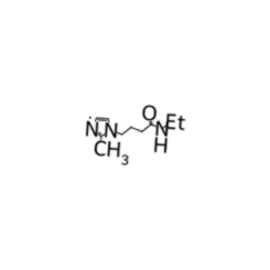 CCNC(=O)CCCn1c[c]nc1C